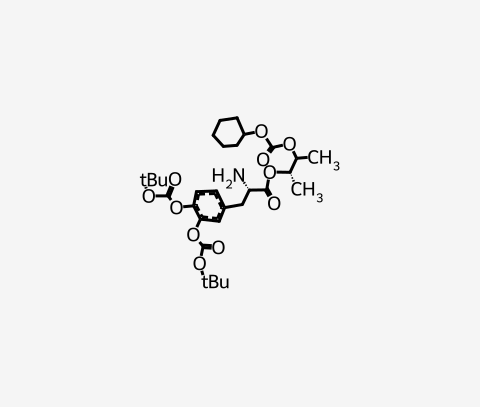 CC(OC(=O)OC1CCCCC1)[C@H](C)OC(=O)[C@@H](N)Cc1ccc(OC(=O)OC(C)(C)C)c(OC(=O)OC(C)(C)C)c1